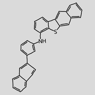 c1cc(Nc2cccc3c2sc2cc4ccccc4cc23)cc(-c2ccc3ccccc3c2)c1